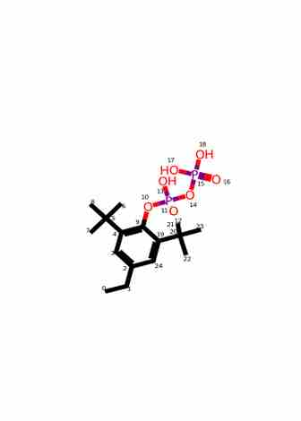 CCc1cc(C(C)(C)C)c(OP(=O)(O)OP(=O)(O)O)c(C(C)(C)C)c1